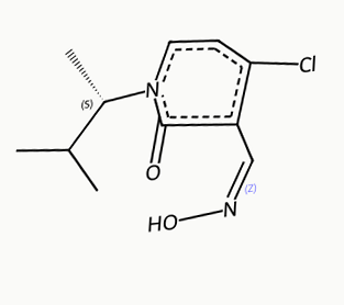 CC(C)[C@H](C)n1ccc(Cl)c(/C=N\O)c1=O